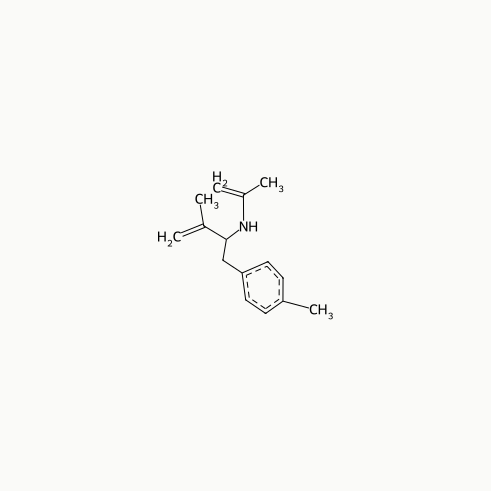 C=C(C)NC(Cc1ccc(C)cc1)C(=C)C